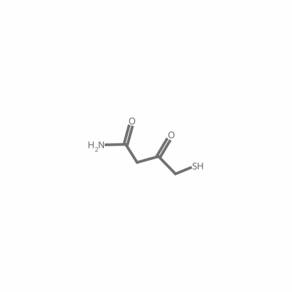 NC(=O)CC(=O)CS